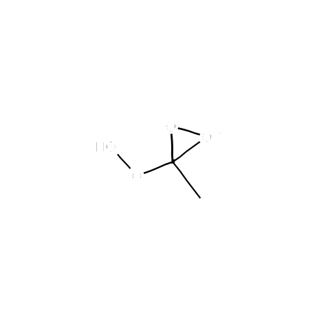 CC1(OO)OO1